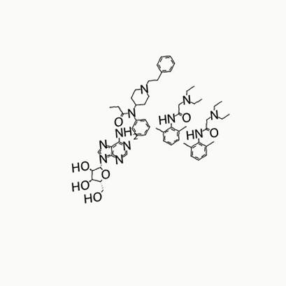 CCC(=O)N(c1ccccc1)C1CCN(CCc2ccccc2)CC1.CCN(CC)CC(=O)Nc1c(C)cccc1C.CCN(CC)CC(=O)Nc1c(C)cccc1C.Nc1ncnc2c1ncn2[C@@H]1O[C@H](CO)[C@@H](O)[C@H]1O